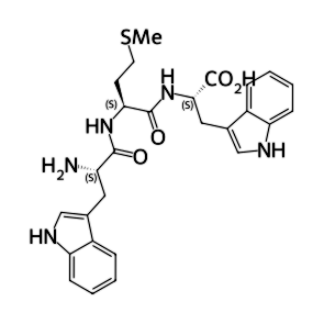 CSCC[C@H](NC(=O)[C@@H](N)Cc1c[nH]c2ccccc12)C(=O)N[C@@H](Cc1c[nH]c2ccccc12)C(=O)O